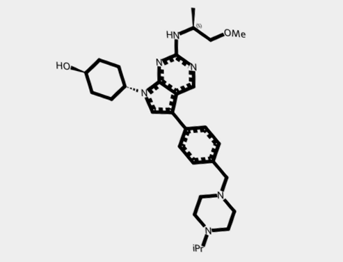 COC[C@H](C)Nc1ncc2c(-c3ccc(CN4CCN(C(C)C)CC4)cc3)cn([C@H]3CC[C@H](O)CC3)c2n1